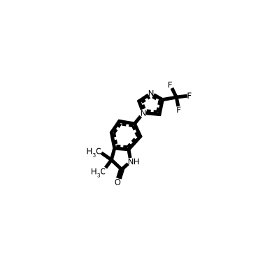 CC1(C)C(=O)Nc2cc(-n3cnc(C(F)(F)F)c3)ccc21